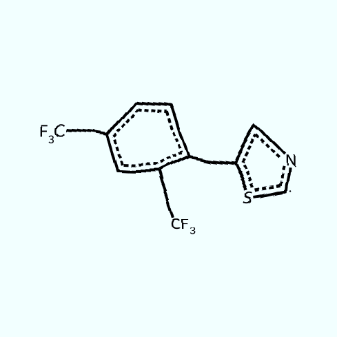 FC(F)(F)c1ccc(-c2cn[c]s2)c(C(F)(F)F)c1